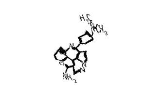 CN(C)c1ccc(C2=Nc3ccccc3-c3c(C(N)=O)cnn4ccc2c34)cc1